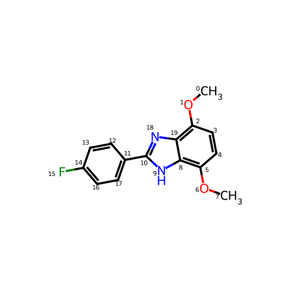 COc1ccc(OC)c2[nH]c(-c3ccc(F)cc3)nc12